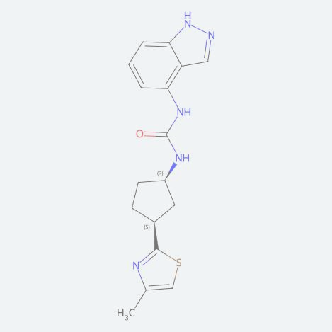 Cc1csc([C@H]2CC[C@@H](NC(=O)Nc3cccc4[nH]ncc34)C2)n1